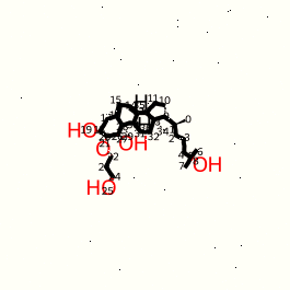 C[C@@H](CCCC(C)(C)O)[C@H]1CC[C@H]2C3=CC=C4C[C@@H](O)[C@@H](OCCCO)[C@@H](O)[C@]4(C)[C@H]3CC[C@]12C